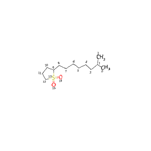 CC(C)CCCCCCC1CCCS1(=O)=O